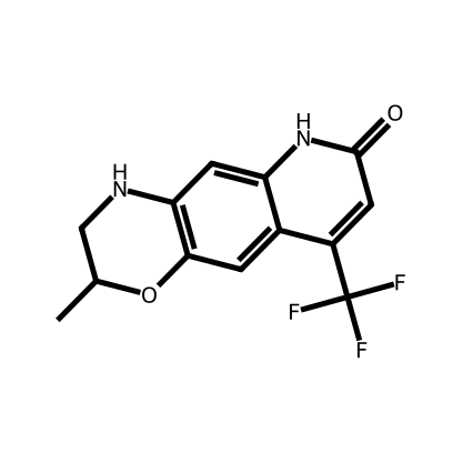 CC1CNc2cc3[nH]c(=O)cc(C(F)(F)F)c3cc2O1